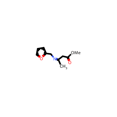 COC(=O)C/C(C)=N\Cc1ccco1